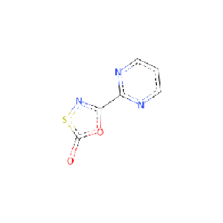 O=c1oc(-c2ncccn2)ns1